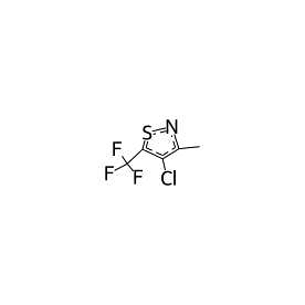 Cc1nsc(C(F)(F)F)c1Cl